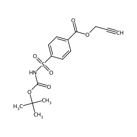 C#CCOC(=O)c1ccc(S(=O)(=O)NC(=O)OC(C)(C)C)cc1